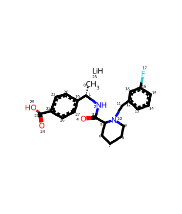 C[C@H](NC(=O)C1CCCCN1Cc1cccc(F)c1)c1ccc(C(=O)O)cc1.[LiH]